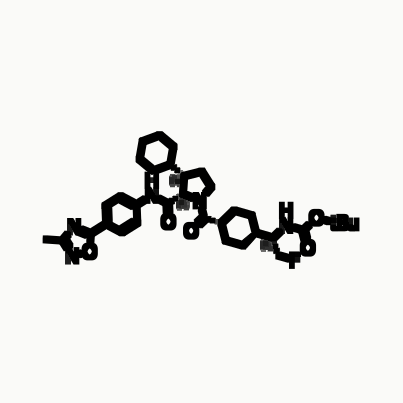 Cc1noc(-c2ccc(NC(=O)[C@@H]3[C@H](C4CCCCC4)CCN3C(=O)[C@H]3CC[C@H]([C@@H](CF)NC(=O)OC(C)(C)C)CC3)cc2)n1